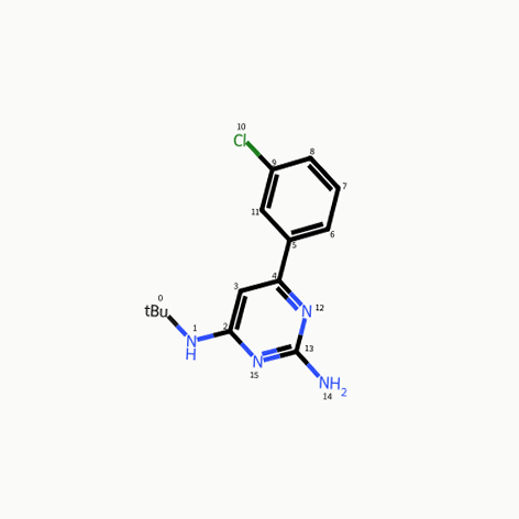 CC(C)(C)Nc1cc(-c2cccc(Cl)c2)nc(N)n1